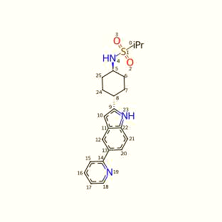 CC(C)S(=O)(=O)N[C@H]1CC[C@H](c2cc3cc(-c4ccccn4)ccc3[nH]2)CC1